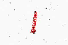 c1ccc(COCCOCCOCCOCCOCCOCCOCCOCCOC(c2ccccc2)(c2ccccc2)c2ccccc2)cc1